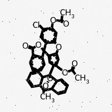 CC(=O)Oc1cc2c(cc1Cl)C1(OC(=O)c3ccccc31)c1cc(C34OOC(C)(C5C=CC=CC53)C3C=CC=CC34)c(OC(C)=O)cc1O2